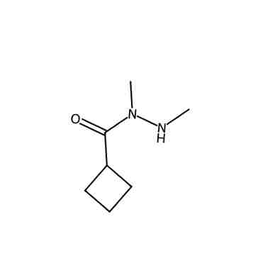 CNN(C)C(=O)C1CCC1